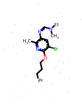 CCN(C)/C=N\c1cc(Br)c(OCCCC(C)C)nc1C